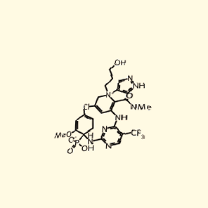 CNC(=O)C1=C(Nc2nc(NC3(P(=O)([O-])O)CC=C(C)C=C3OC)ncc2C(F)(F)F)C=C(Cl)C[N+]1(CCCO)c1cn[nH]c1